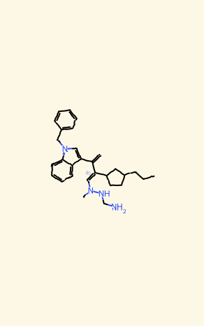 C=C(/C(=C/N(C)NCN)C1CCC(CCC)C1)c1cn(Cc2ccccc2)c2ccccc12